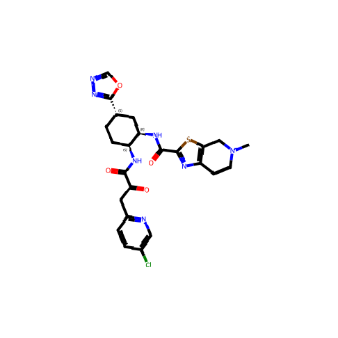 CN1CCc2nc(C(=O)N[C@@H]3C[C@@H](c4nnco4)CC[C@@H]3NC(=O)C(=O)Cc3ccc(Cl)cn3)sc2C1